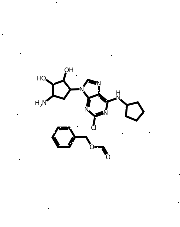 NC1CC(n2cnc3c(NC4CCCC4)nc(Cl)nc32)C(O)C1O.O=COCc1ccccc1